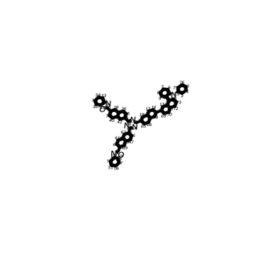 c1ccc(-n2c3ccccc3c3c4cc(-c5ccc6cc(-c7nc(-c8ccc9cc(-c%10nc%11ccccc%11o%10)ccc9c8)nc(-c8ccc9cc(-c%10nc%11ccccc%11o%10)ccc9c8)n7)ccc6c5)ccc4ccc32)cc1